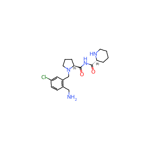 NCc1ccc(Cl)cc1CN1CCC[C@H]1C(=O)NC(=O)[C@H]1CCCCN1